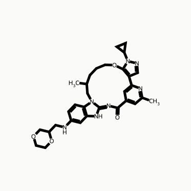 Cc1cc2cc(n1)-c1cnn(C3CC3)c1OCCCC(C)CN1/C(=N/C2=O)Nc2cc(NCC3COCCO3)ccc21